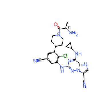 C[C@@H](N)C(=O)N1CCC(c2cc(C#N)cc(Nc3nc(NC4CC4)c4ncc(C#N)n4n3)c2Cl)CC1